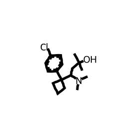 CN(C)C(CC(C)(C)O)C1(c2ccc(Cl)cc2)CCC1